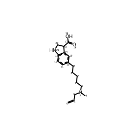 C=CCN(C)CCCCCc1ccc2c(c1)C(C(=O)O)CN2